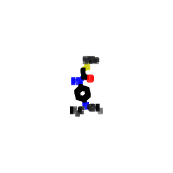 CSSCC(=O)Nc1ccc(N(C)C)cc1